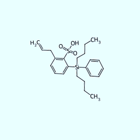 C=CCc1cccc([Si](CCCC)(CCCC)c2ccccc2)c1S(=O)(=O)O